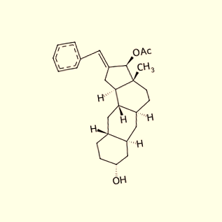 CC(=O)O[C@@H]1/C(=C/c2ccccc2)C[C@@H]2[C@H]3C[C@H]4CC[C@@H](O)C[C@@H]4C[C@@H]3CC[C@@]12C